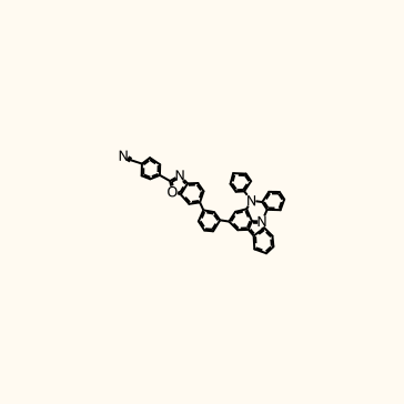 N#Cc1ccc(-c2nc3ccc(-c4cccc(-c5cc6c7c(c5)c5ccccc5n7-c5ccccc5N6c5ccccc5)c4)cc3o2)cc1